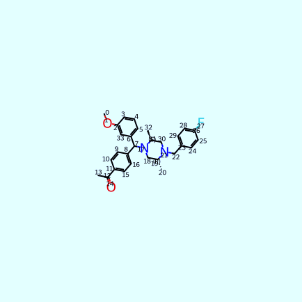 COc1cccc(C(c2ccc(C(C)=O)cc2)N2C[C@@H](C)N(Cc3ccc(F)cc3)C[C@@H]2C)c1